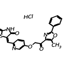 Cc1oc(-c2ccccc2)nc1C(=O)COc1ccc(C=C2SC(=O)NC2=O)nc1.Cl